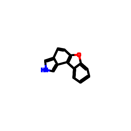 c1ccc2c(c1)oc1ccc3c[nH]cc3c12